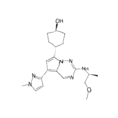 COC[C@H](C)Nc1ncc2c(-c3ccn(C)n3)cc([C@H]3CC[C@H](O)CC3)n2n1